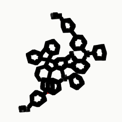 C/C=C\C1=C(c2ccccc2)c2c(cc3sc4c(N(c5ccccc5)c5ccc(-c6ccc(C(C)(C)C)cc6)cc5)cccc4c3c2N(c2ccccc2)c2ccc(-c3ccc(C(C)(C)C)cc3)cc2)C12c1ccccc1-c1ccccc12